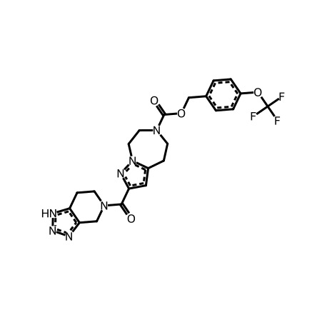 O=C(OCc1ccc(OC(F)(F)F)cc1)N1CCc2cc(C(=O)N3CCc4[nH]nnc4C3)nn2CC1